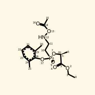 CCOC(=O)[C@H](C)OP(=O)(CCNOC(C)=O)Oc1c(C)cccc1C